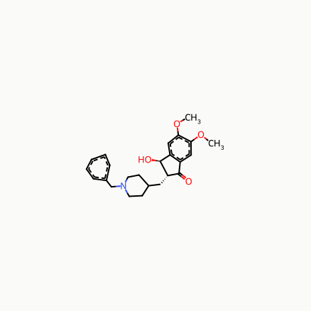 COc1cc2c(cc1OC)[C@H](O)[C@@H](CC1CCN(Cc3ccccc3)CC1)C2=O